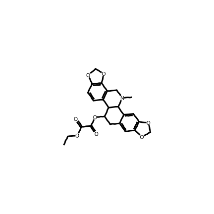 CCOC(=O)C(=O)OC1Cc2cc3c(cc2C2C1c1ccc4c(c1CN2C)OCO4)OCO3